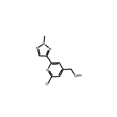 COCc1cc(Cl)nc(-c2cnn(C)n2)c1